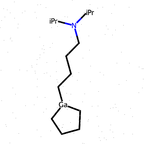 CC(C)N(CCC[CH2][Ga]1[CH2]CC[CH2]1)C(C)C